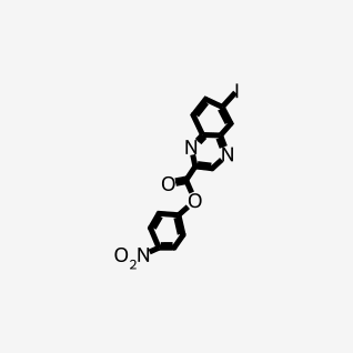 O=C(Oc1ccc([N+](=O)[O-])cc1)c1cnc2cc(I)ccc2n1